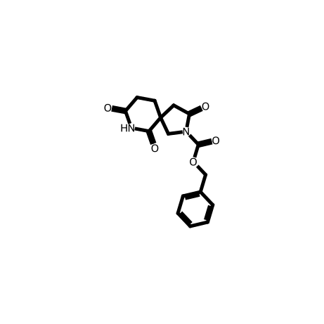 O=C1CCC2(CC(=O)N(C(=O)OCc3ccccc3)C2)C(=O)N1